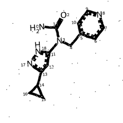 NC(=O)N(Cc1ccncc1)c1cc(C2CC2)n[nH]1